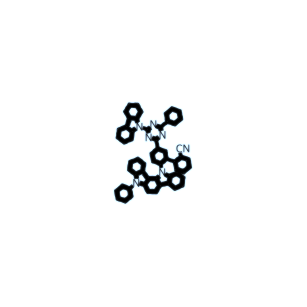 N#Cc1ccccc1-c1cc(-c2nc(-c3ccccc3)nc(-n3c4ccccc4c4ccccc43)n2)ccc1-n1c2ccccc2c2ccc3c(c4ccccc4n3-c3ccccc3)c21